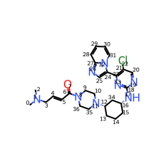 CN(C)C/C=C/C(=O)N1CCN([C@H]2CCC[C@@H](Nc3ncc(Cl)c(-c4cnc5ccccn45)n3)C2)CC1